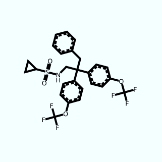 O=S(=O)(NCC(Cc1ccccc1)(c1ccc(OC(F)(F)F)cc1)c1ccc(OC(F)(F)F)cc1)C1CC1